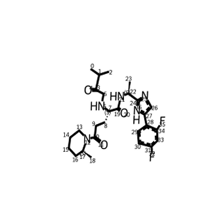 CC(C)C(=O)CN[C@@H](CCC(=O)N1CCCC[C@@H]1C)C(=O)N[C@@H](C)c1ncc(-c2ccc(F)cc2F)[nH]1